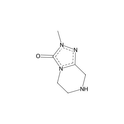 Cn1nc2n(c1=O)CCNC2